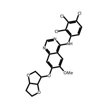 COc1cc2c(Nc3ccc(Cl)c(Cl)c3Cl)ncnc2cc1OC1COC2CCOC21